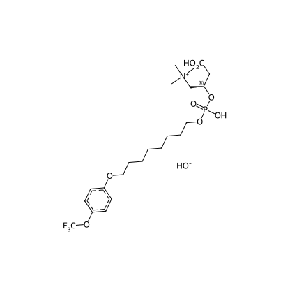 C[N+](C)(C)C[C@@H](CC(=O)O)OP(=O)(O)OCCCCCCCCOc1ccc(OC(F)(F)F)cc1.[OH-]